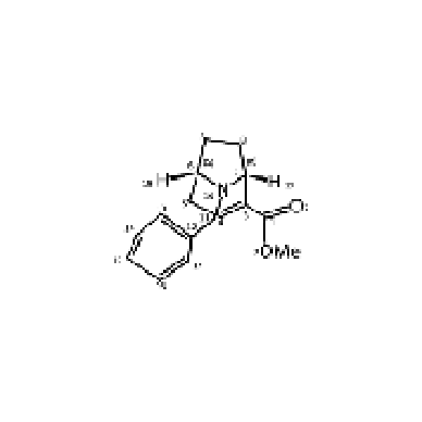 COC(=O)C1=CC[C@@H]2CC[C@H]1N2Cc1ccccc1